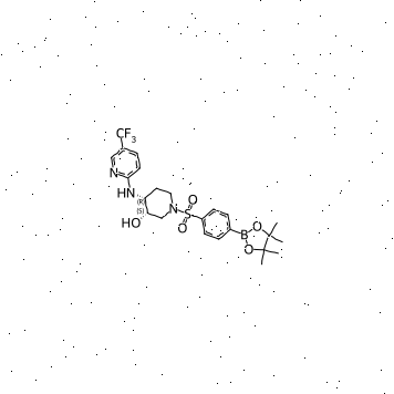 CC1(C)OB(c2ccc(S(=O)(=O)N3CC[C@@H](Nc4ccc(C(F)(F)F)cn4)[C@@H](O)C3)cc2)OC1(C)C